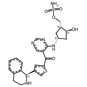 NS(=O)(=O)OC[C@H]1C[C@@H](Nc2ncncc2C(=O)c2cc([C@H]3NCCc4ccccc43)cs2)C[C@@H]1O